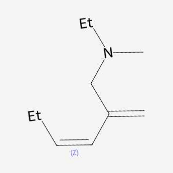 C=C(/C=C\CC)CN(C)CC